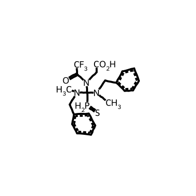 CN(Cc1ccccc1)C([PH2]=S)(N(C)Cc1ccccc1)N(CC(=O)O)C(=O)C(F)(F)F